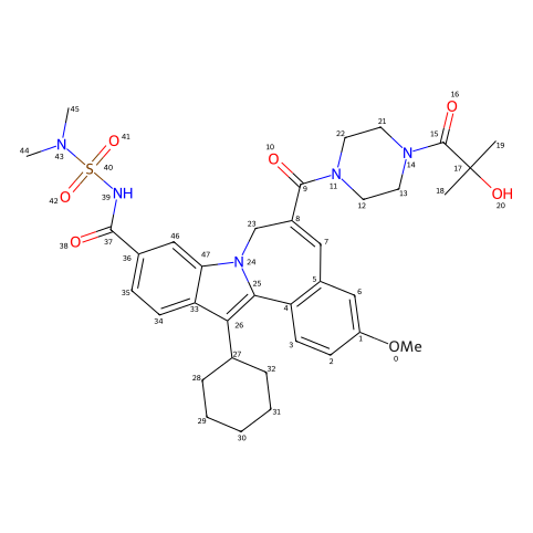 COc1ccc2c(c1)C=C(C(=O)N1CCN(C(=O)C(C)(C)O)CC1)Cn1c-2c(C2CCCCC2)c2ccc(C(=O)NS(=O)(=O)N(C)C)cc21